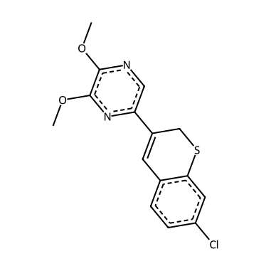 COc1ncc(C2=Cc3ccc(Cl)cc3SC2)nc1OC